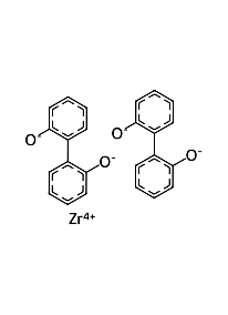 [O-]c1ccccc1-c1ccccc1[O-].[O-]c1ccccc1-c1ccccc1[O-].[Zr+4]